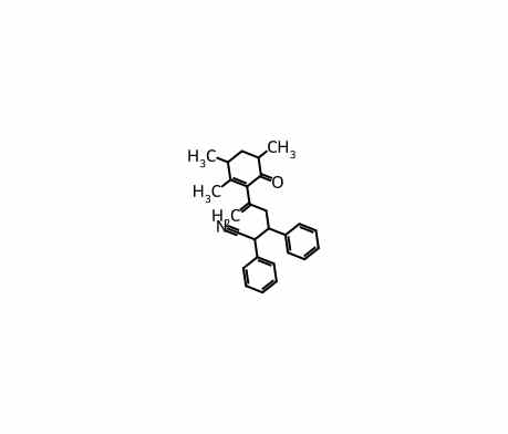 C=C(CC(c1ccccc1)C(C#N)c1ccccc1)C1=C(C)C(C)CC(C)C1=O